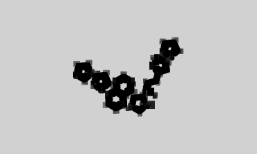 C1COCN1.C=CCc1conn1.c1cnc2ncncc2n1.c1cnoc1.c1cnoc1.c1cocn1